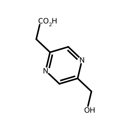 O=C(O)Cc1cnc(CO)cn1